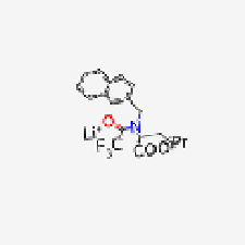 CC(C)C[C@@H](C(=O)[O-])N(Cc1ccc2ccccc2c1)C(=O)C(F)(F)F.[Li+]